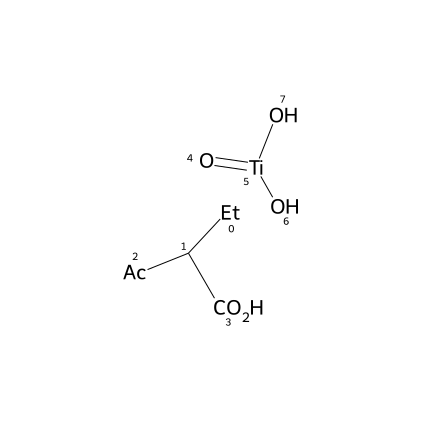 CCC(C(C)=O)C(=O)O.[O]=[Ti]([OH])[OH]